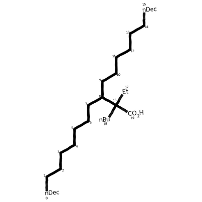 CCCCCCCCCCCCCCCCCC(CCCCCCCCCCCCCCCC)C(CC)(CCCC)C(=O)O